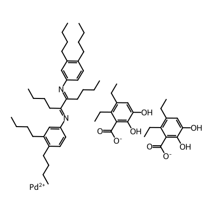 CCCCC(=Nc1ccc(CCCC)c(CCCC)c1)C(CCCC)=Nc1ccc(CCCC)c(CCCC)c1.CCc1cc(O)c(O)c(C(=O)[O-])c1CC.CCc1cc(O)c(O)c(C(=O)[O-])c1CC.[Pd+2]